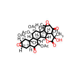 CC(=O)O[C@H]1[C@H]2[C@H]([C@@H]3[C@H]4OC(=O)[C@@](C)(O)[C@@]5(C)C(=O)C6OC6(C)[C@@H]([C@@H]45)[C@@]3(C)[C@H]1OC(C)=O)[C@@H](OC(C)=O)C(=O)[C@H]1C[C@@H]3O[C@@H]3[C@H](OC(C)=O)[C@]21C